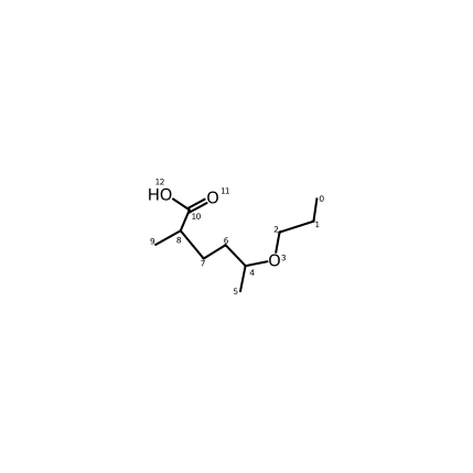 CCCOC(C)CCC(C)C(=O)O